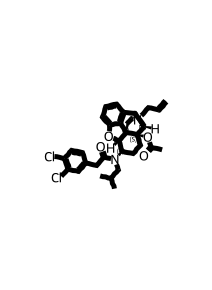 C=CCN1CC[C@]23c4c5cccc4O[C@H]2[C@H](N(CC(C)C)C(=O)Cc2ccc(Cl)c(Cl)c2)CC[C@@]3(OC(C)=O)[C@H]1C5